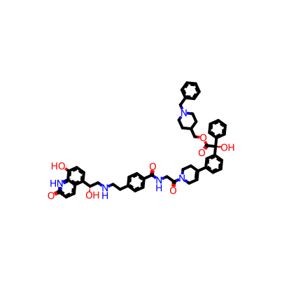 O=C(NCC(=O)N1CC=C(c2cccc([C@](O)(C(=O)OCC3CCN(Cc4ccccc4)CC3)c3ccccc3)c2)CC1)c1ccc(CCNC[C@H](O)c2ccc(O)c3[nH]c(=O)ccc23)cc1